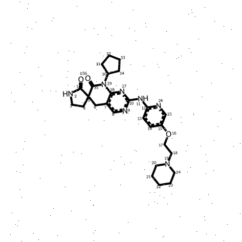 O=C1NCCC12Cc1cnc(Nc3ccc(OCCN4CCCCC4)cn3)nc1N(C1CCCC1)C2=O